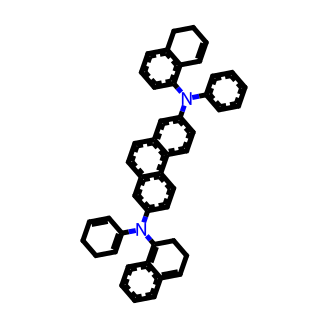 C1=CC(N(C2=c3ccccc3=CCC2)c2ccc3c(ccc4cc(N(c5ccccc5)c5cccc6c5C=CCC6)ccc43)c2)=CCC1